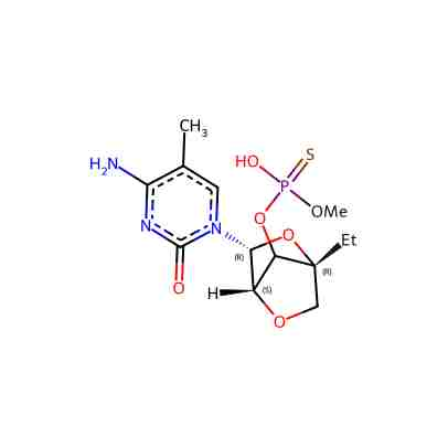 CC[C@@]12CO[C@@H](C1OP(O)(=S)OC)[C@H](n1cc(C)c(N)nc1=O)O2